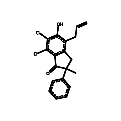 C=CCc1c(O)c(Cl)c(Cl)c2c1CC(C)(c1ccccc1)C2=O